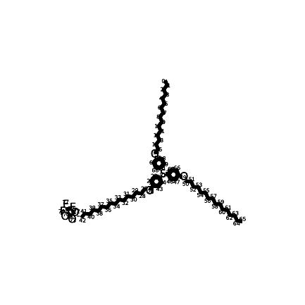 CCCCCCCCCCCCCCCCOc1ccc([S+](c2ccc(OCCCCCCCCCCCCCCCC)cc2)c2ccc(OCCCCCCCCCCCCCCCC)cc2)cc1.O=S(=O)([O-])C(F)(F)F